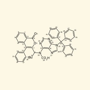 CC(C)(C)C(c1oc(=O)c2ccccc2c1-c1ccccc1)N(C(=O)O)c1ncnc2c1ncn2C(c1ccccc1)(c1ccccc1)c1ccccc1